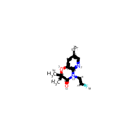 CC(C)c1cnc2c(c1)OC(C)(C)C(=O)N2CCF